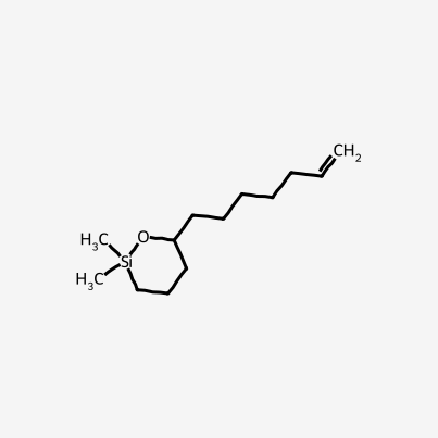 C=CCCCCCC1CCC[Si](C)(C)O1